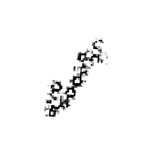 COC(=O)N[C@H](C(=O)N1CCC[C@H]1c1ncc(-c2ccc(-c3ccc(-c4cnc(C5C6CC[C@H]6[C@H]5C(=O)NCc5cccnc5)[nH]4)cc3)cc2)[nH]1)C(C)C